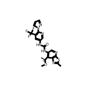 CO[C@@H](C)c1c(NC(=O)Nc2cnc(-n3cccn3)c(C(F)(F)F)c2)cnc2sc(C)nc12